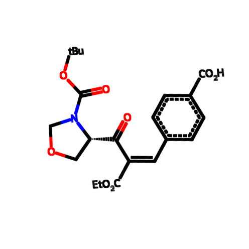 CCOC(=O)C(=Cc1ccc(C(=O)O)cc1)C(=O)[C@@H]1COCN1C(=O)OC(C)(C)C